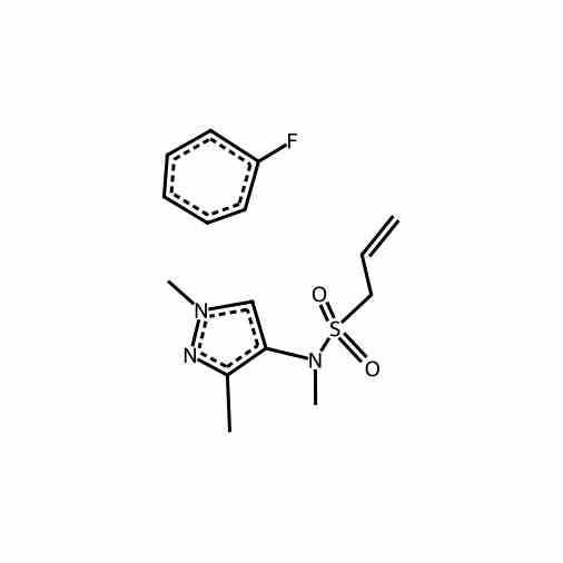 C=CCS(=O)(=O)N(C)c1cn(C)nc1C.Fc1ccccc1